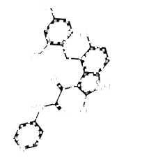 O=C(Nc1ccncc1)C(=O)c1c(Cl)[nH]c2ccc(Cl)c(Cc3ccc(Cl)cc3Cl)c12